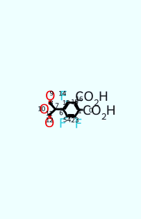 O=C(O)c1c(F)c(F)c(C2C(=O)OC2=O)c(F)c1C(=O)O